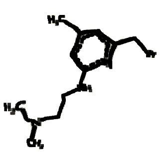 Cc1cc(CC(C)C)nc(NCCN(C)C)c1